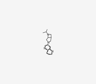 CC(C)N1CC2CN(c3cnc4cccnc4c3)CC21